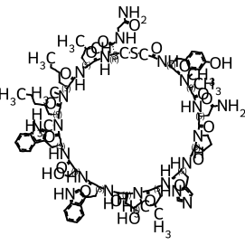 CCCCC[C@H]1C(=O)N(C)[C@@H](CCCC)C(=O)N[C@@H](CC(C)C)C(=O)N[C@H](C(=O)NCC(N)=O)CSCC(=O)N[C@@H](Cc2ccc(O)cc2)C(=O)N(C)[C@@H](C)C(=O)N[C@@H](CC(N)=O)C(=O)N2CCC[C@H]2C(=O)N[C@@H](Cc2cnc[nH]2)C(=O)N[C@@H](CC(C)C)C(=O)N2C[C@H](O)C[C@H]2C(=O)N[C@@H](Cc2c[nH]c3ccccc23)C(=O)N[C@@H](CO)C(=O)N[C@@H](Cc2c[nH]c3ccccc23)C(=O)N1C